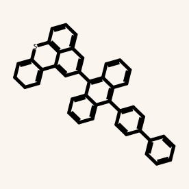 C1=C2Sc3cccc4cc(-c5c6ccccc6c(-c6ccc(-c7ccccc7)cc6)c6ccccc56)cc(c34)C2=CCC1